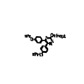 CCCCCCCOc1nnc(-c2ccc(OCCC)cc2)c(-c2ccc(OCCC)cc2)n1